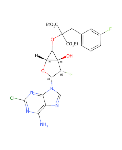 CCOC(=O)C(Cc1cccc(F)c1)(OC1[C@H]2O[C@@H](n3cnc4c(N)nc(Cl)nc43)[C@@H](F)[C@@]12O)C(=O)OCC